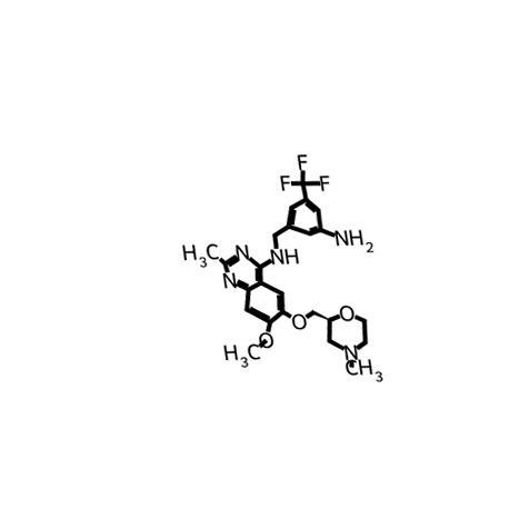 COc1cc2nc(C)nc(NCc3cc(N)cc(C(F)(F)F)c3)c2cc1OC[C@@H]1CN(C)CCO1